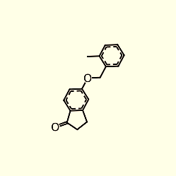 Cc1ccccc1COc1ccc2c(c1)CCC2=O